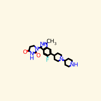 Cn1nc(N2CCC(=O)NC2=O)c2cc(F)c(C3CCN(C4CCNCC4)CC3)cc21